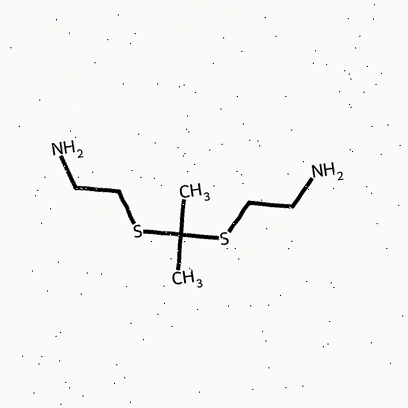 CC(C)(SCCN)SCCN